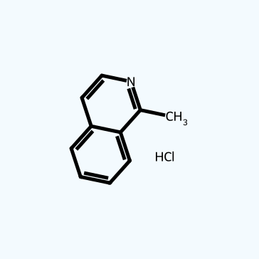 Cc1nccc2ccccc12.Cl